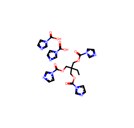 CCC(COC(=O)n1ccnc1)(COC(=O)n1ccnc1)COC(=O)n1ccnc1.O=C(O)n1ccnc1.O=C(O)n1ccnc1